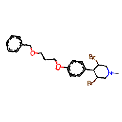 CN1C[C@@H](Br)[C@@H](c2ccc(OCCCOCc3ccccc3)cc2)[C@@H](Br)C1